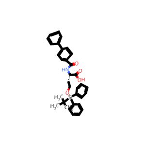 CC(C)(C)[Si](OCC[C@H](NC(=O)c1ccc(-c2ccccc2)cc1)C(=O)O)(c1ccccc1)c1ccccc1